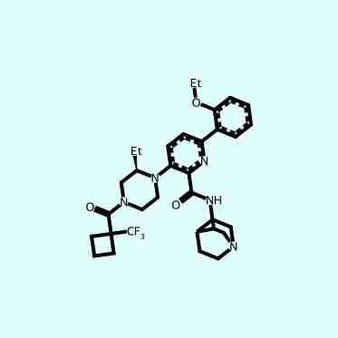 CCOc1ccccc1-c1ccc(N2CCN(C(=O)C3(C(F)(F)F)CCC3)C[C@H]2CC)c(C(=O)NC2CN3CCC2CC3)n1